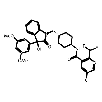 COc1cc(OC)cc(C2(O)C(=O)N(C[C@H]3CC[C@H](NC(=O)c4cc(Cl)cnc4C(F)F)CC3)c3ccccc32)c1